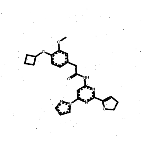 COc1cc(CC(=O)Nc2cc(-n3cccn3)nc(C3=CCCO3)n2)ccc1OC1CCC1